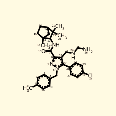 Cc1ccc(Cn2nc(C(=O)NC3C4(C)CCC(C4)C3(C)C)c(CNCN)c2-c2ccc(Cl)cc2)cc1